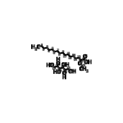 CCCCCCCCCCCCCCCCC(OCC)C(=O)O.OCC(O)C(O)C(O)C(O)CO